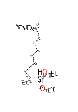 CCCCCCCCCCCCCCCCC(CC)[SiH](OCC)OCC